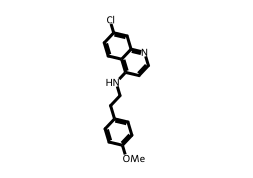 COc1ccc(CCNc2ccnc3cc(Cl)ccc23)cc1